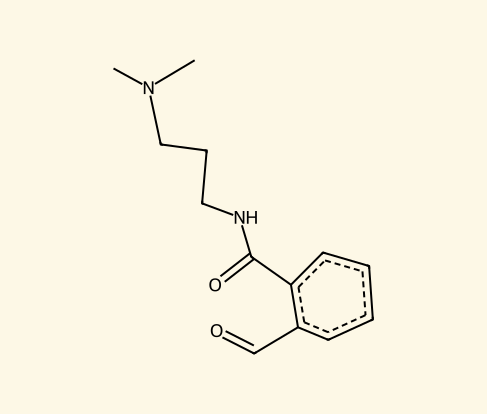 CN(C)CCCNC(=O)c1ccccc1C=O